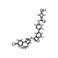 N=Cc1cn(Cc2coc3ccc(C4=CCN(CC(=O)N5CC(O)C5)CC4)cc23)nc1-c1ccc(Cl)cc1